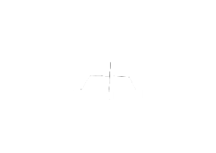 FC(Cl)(CCl)CCl